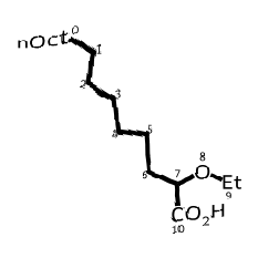 CCCCCCCCCCCCCCC(OCC)C(=O)O